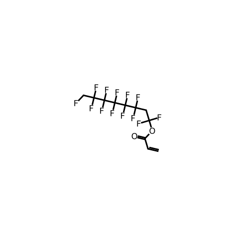 C=CC(=O)OC(F)(F)CC(F)(F)C(F)(F)C(F)(F)C(F)(F)C(F)(F)CF